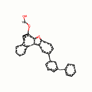 OBOc1cc2ccccc2c2c1oc1ccc(-c3cccc(-c4ccccc4)c3)cc12